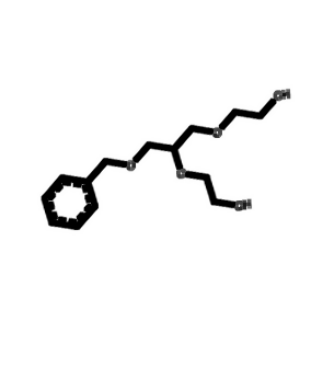 OCCOCC(COCc1ccccc1)OCCO